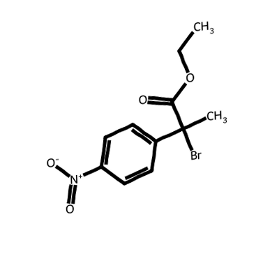 CCOC(=O)C(C)(Br)c1ccc([N+](=O)[O-])cc1